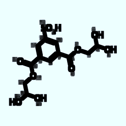 O=C(OCC(O)O)c1cc(C(=O)OCC(O)O)cc(S(=O)(=O)O)c1